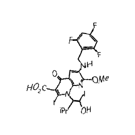 COc1nc2c(cc1NCc1c(F)cc(F)cc1F)c(=O)c(C(=O)O)c(I)n2C(C(C)C)C(O)I